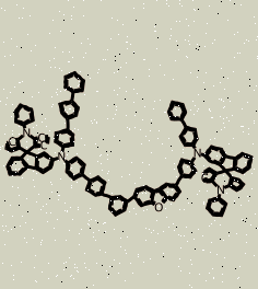 c1ccc(-c2ccc(-c3ccc(N(c4ccc(-c5ccc(-c6cccc(-c7ccc8c(c7)oc7ccc(-c9ccc(N(c%10ccc(-c%11ccccc%11)cc%10)c%10ccc%11c(c%10)C%10(c%12ccccc%12-%11)c%11ccccc%11N(c%11ccccc%11)c%11ccccc%11%10)cc9)cc78)c6)cc5)cc4)c4ccc5c(c4)C4(c6ccccc6-5)c5ccccc5N(c5ccccc5)c5ccccc54)cc3)cc2)cc1